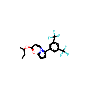 CCC(C)OC(=O)/C=C\n1cccc1-c1cc(C(F)(F)F)cc(C(F)(F)F)c1